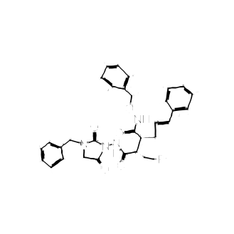 CC(C)C[C@@H](C(=O)NN1C(=O)CN(Cc2ccccc2)C1=O)[C@H](CC=Cc1ccccc1)C(=O)NOCc1ccccc1